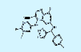 N#Cc1cnc2c(Cl)cc(N[C@@H](c3ccc(F)nc3)c3c[nH]nn3)cc2c1Nc1cnc(F)c(F)c1